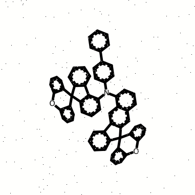 c1ccc(-c2ccc(N(c3cccc4c3-c3ccccc3C43c4ccccc4Oc4ccccc43)c3cccc4cc5c(cc34)-c3ccccc3C53c4ccccc4Oc4ccccc43)cc2)cc1